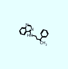 C=C(CCNc1ncnc2ccccc12)c1ccccc1